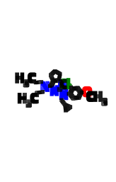 CCCN(CCC)c1nc(N(CC2CC2)c2ccc(OC)cc2Cl)nc2c1CCC2